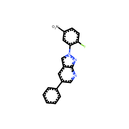 O=[N+]([O-])c1ccc(F)c(-n2cc3cc(-c4ccccc4)cnc3n2)c1